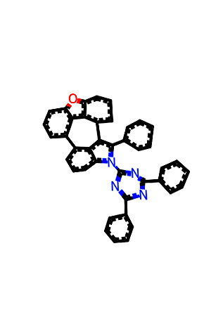 c1ccc(-c2nc(-c3ccccc3)nc(-n3c(-c4ccccc4)c4c5c(cccc53)-c3cccc5oc6cccc-4c6c35)n2)cc1